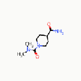 CN(C)C(=O)N1CCC(C(N)=O)CC1